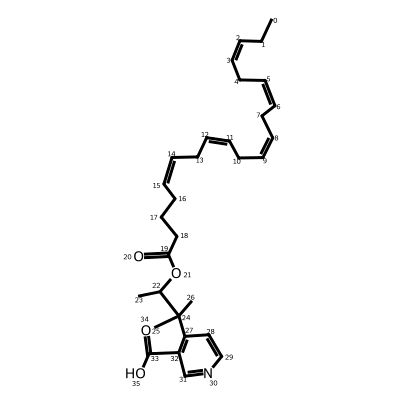 CC/C=C\C/C=C\C/C=C\C/C=C\C/C=C\CCCC(=O)OC(C)C(C)(C)c1ccncc1C(=O)O